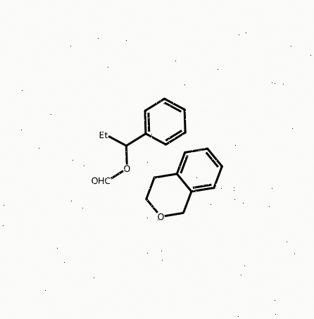 CCC(OC=O)c1ccccc1.c1ccc2c(c1)CCOC2